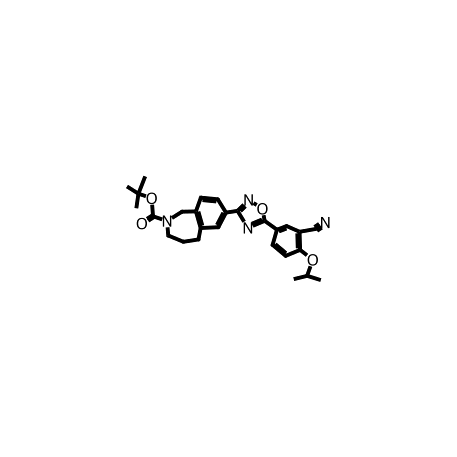 CC(C)Oc1ccc(-c2nc(-c3ccc4c(c3)CCCN(C(=O)OC(C)(C)C)C4)no2)cc1C#N